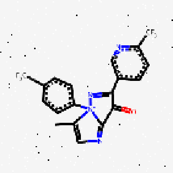 CC1=CN=C2C(=O)C(c3ccc(C(F)(F)F)nc3)=N[N+]12c1ccc(C(F)(F)F)cc1